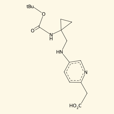 CC(C)(C)OC(=O)NC1(CNc2ccc(CC(=O)O)nc2)CC1